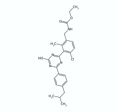 CCOC(=O)NCc1ccc(Cl)c(-c2nc(O)nc(-c3ccc(CC(C)C)cc3)n2)c1C